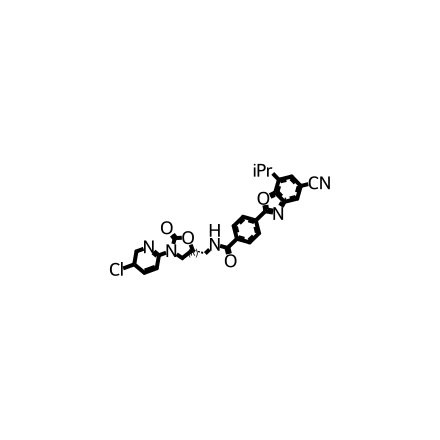 CC(C)c1cc(C#N)cc2nc(-c3ccc(C(=O)NC[C@@H]4CN(C5=NCC(Cl)C=C5)C(=O)O4)cc3)oc12